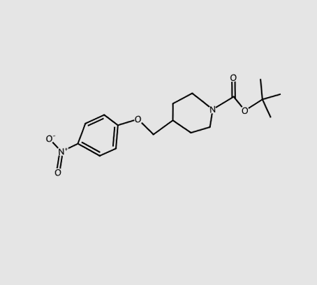 CC(C)(C)OC(=O)N1CCC(COc2ccc([N+](=O)[O-])cc2)CC1